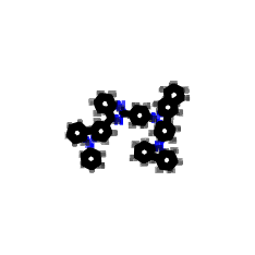 c1ccc(-n2c3ccccc3c3cc(-c4nc(-c5ccc(-n6c7cc(-n8c9ccccc9c9ccccc98)ccc7c7cc8ccccc8cc76)cc5)nc5ccccc45)ccc32)cc1